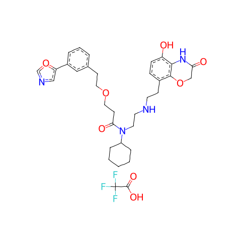 O=C(O)C(F)(F)F.O=C1COc2c(CCNCCN(C(=O)CCOCCc3cccc(-c4cnco4)c3)C3CCCCC3)ccc(O)c2N1